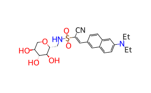 CCN(CC)c1ccc2cc(/C=C(\C#N)S(=O)(=O)NC[C@H]3OC[C@H](O)[C@@H](O)[C@@H]3O)ccc2c1